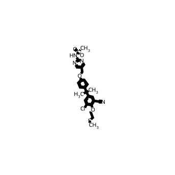 CSCCOc1c(Cl)cc(C(C)(C)c2ccc(OCc3cnc(NS(C)(=O)=O)nc3)cc2)cc1C#N